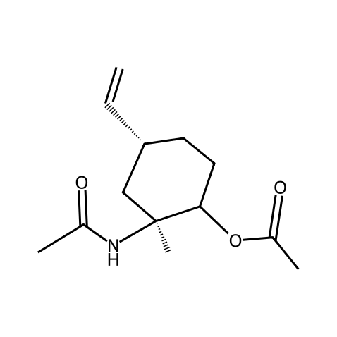 C=C[C@@H]1CCC(OC(C)=O)[C@@](C)(NC(C)=O)C1